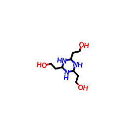 OCCC1NC(CCO)NC(CCO)N1